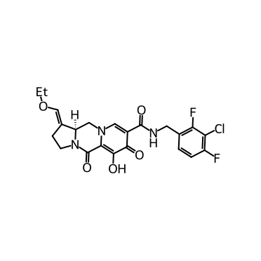 CCO/C=C1\CCN2C(=O)c3c(O)c(=O)c(C(=O)NCc4ccc(F)c(Cl)c4F)cn3C[C@H]12